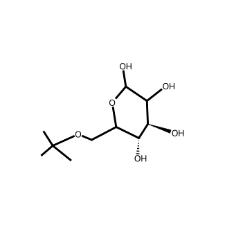 CC(C)(C)OCC1OC(O)C(O)[C@@H](O)[C@@H]1O